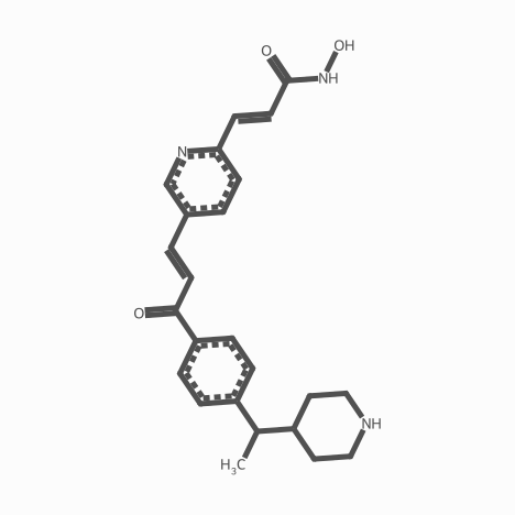 CC(c1ccc(C(=O)C=Cc2ccc(C=CC(=O)NO)nc2)cc1)C1CCNCC1